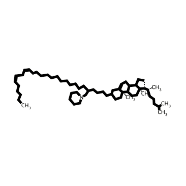 CCCCC/C=C\C/C=C\CCCCCCCCCCCCC(CCCCC1CC[C@@]2(C)C(=CCC3C2CC[C@@]2(C)C3CC[C@@H]2[C@H](C)CCCC(C)C)C1)CN1CCCCC1